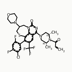 C=CC(=O)N1[C@H](C)CN(c2nc(=O)n3c4c(c(-c5cc(Cl)c(F)cc5F)c(C(F)(F)F)cc24)SCC(N2CCOCC2)C3)C[C@@H]1C